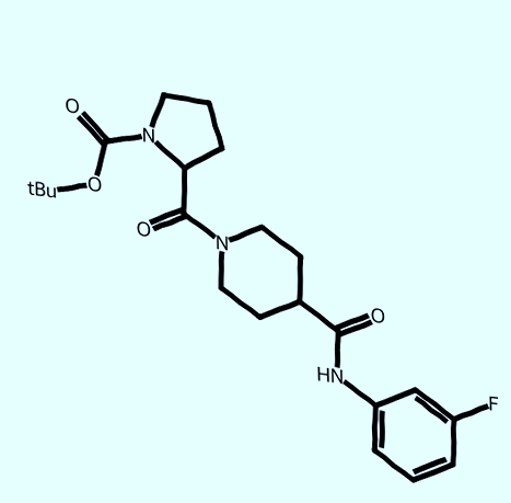 CC(C)(C)OC(=O)N1CCCC1C(=O)N1CCC(C(=O)Nc2cccc(F)c2)CC1